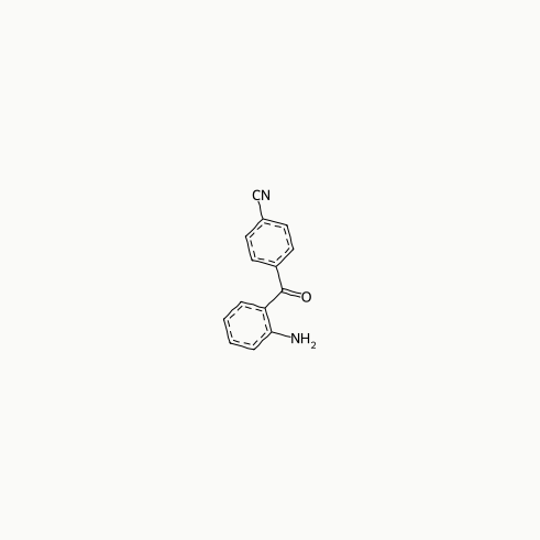 N#Cc1ccc(C(=O)c2ccccc2N)cc1